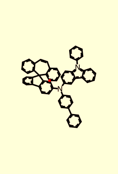 C1=Cc2ccccc2C2(c3ccccc31)c1ccccc1-c1ccc(N(c3ccc(-c4ccccc4)cc3)c3ccc4c(c3)c3ccccc3n4-c3ccccc3)cc12